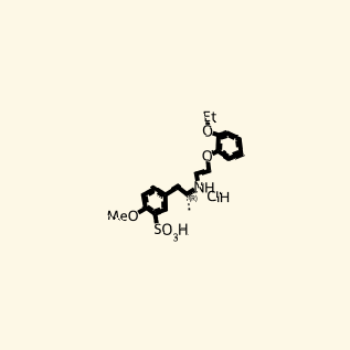 CCOc1ccccc1OCCN[C@H](C)Cc1ccc(OC)c(S(=O)(=O)O)c1.Cl